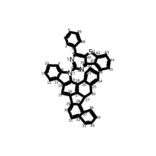 c1ccc(-c2nc(-n3c4ccccc4c4cc5c6c(c43)-c3ccccc3CC6c3c-5ccc4ccccc34)nc3c2sc2ccccc23)cc1